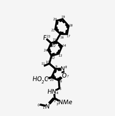 C/N=C(/NC)NCc1onc(C(C)c2ccc(-c3ccccc3)c(F)c2)c1C(=O)O